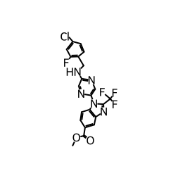 COC(=O)c1ccc2c(c1)nc(C(F)(F)F)n2-c1cnc(NCc2ccc(Cl)cc2F)cn1